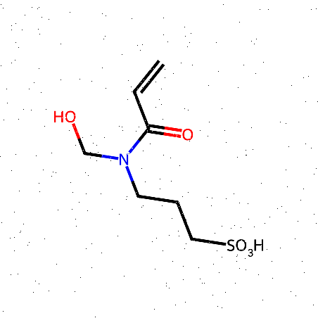 C=CC(=O)N(CO)CCCS(=O)(=O)O